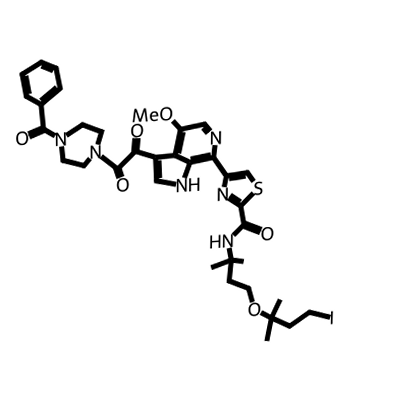 COc1cnc(-c2csc(C(=O)NC(C)(C)CCOC(C)(C)CCI)n2)c2[nH]cc(C(=O)C(=O)N3CCN(C(=O)c4ccccc4)CC3)c12